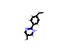 CCc1ccc(-c2ncc(C)cn2)cc1